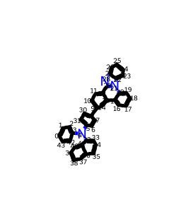 c1ccc(N(c2ccc(-c3ccc4c(c3)c3ccccc3n3c5ccccc5nc43)cc2)c2cccc3ccccc23)cc1